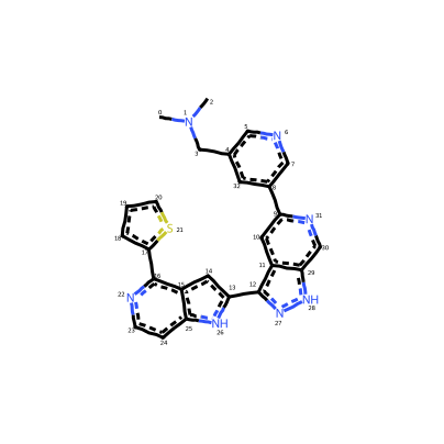 CN(C)Cc1cncc(-c2cc3c(-c4cc5c(-c6cccs6)nccc5[nH]4)n[nH]c3cn2)c1